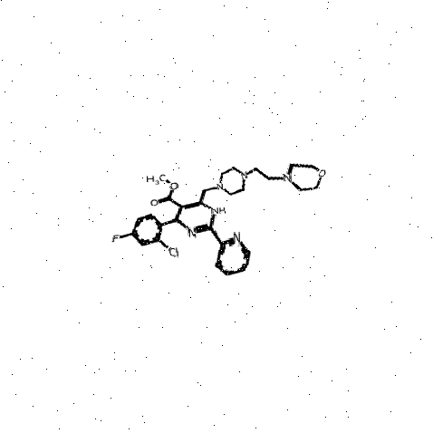 COC(=O)C1=C(CN2CCN(CCN3CCOCC3)CC2)NC(c2ccccn2)=NC1c1ccc(F)cc1Cl